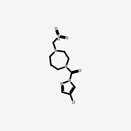 O=C(N1CCCN(C[SH](=O)=O)CC1)n1cc(Cl)cn1